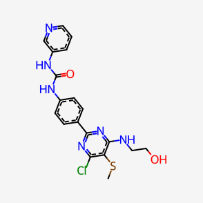 CSc1c(Cl)nc(-c2ccc(NC(=O)Nc3cccnc3)cc2)nc1NCCO